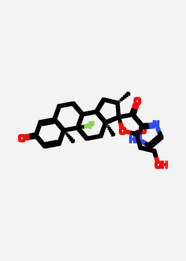 C[C@H]1CC2C3CCC4=CC(=O)C=C[C@]4(C)[C@@]3(F)CC[C@]2(C)[C@@]1(OC(=O)CCO)C(=O)c1ncc[nH]1